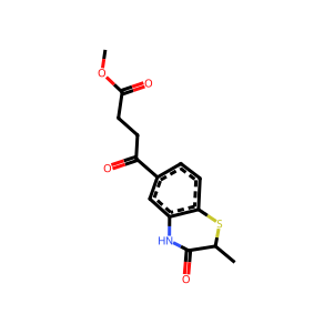 COC(=O)CCC(=O)c1ccc2c(c1)NC(=O)C(C)S2